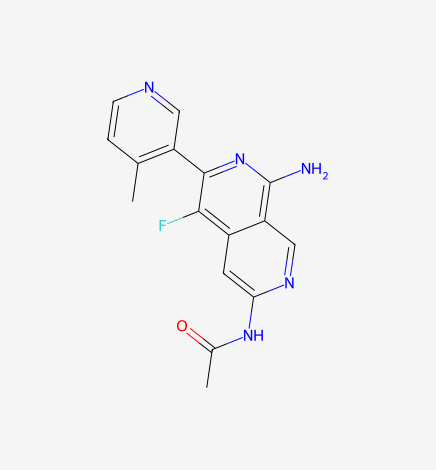 CC(=O)Nc1cc2c(F)c(-c3cnccc3C)nc(N)c2cn1